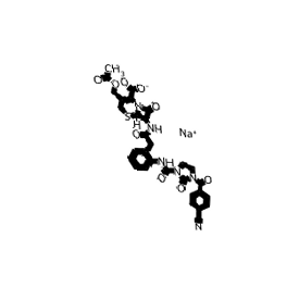 CC(=O)OCC1=C(C(=O)[O-])N2C(=O)C(NC(=O)Cc3ccccc3NC(=O)N3CCN(C(=O)c4ccc(C#N)cc4)C3=O)[C@H]2SC1.[Na+]